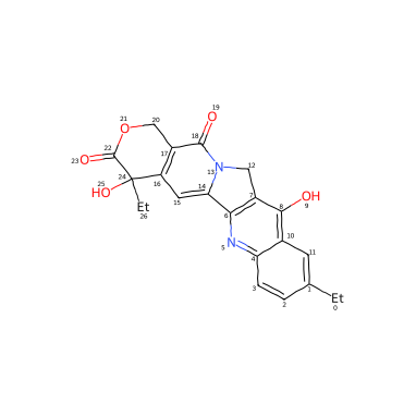 CCc1ccc2nc3c(c(O)c2c1)Cn1c-3cc2c(c1=O)COC(=O)C2(O)CC